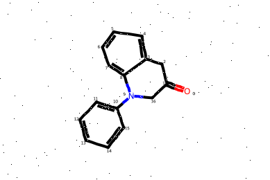 O=C1Cc2ccccc2N(c2ccccc2)C1